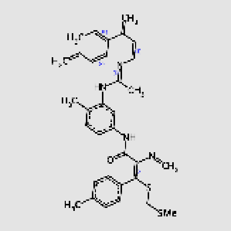 C=C/C=C\C(=C/C)C(=C)/C=C\N=C(/C)Nc1cc(NC(=O)/C(N=C)=C(/SCSC)c2ccc(C)cc2)ccc1C